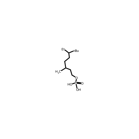 CCCCC(CC)CCC(C)CCOP(=O)(O)O